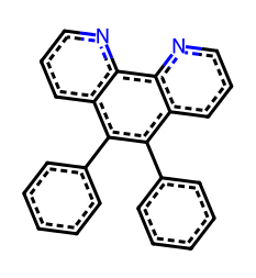 c1ccc(-c2c(-c3ccccc3)c3cccnc3c3ncccc23)cc1